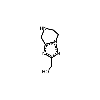 OCc1nc2n(n1)CCNC2